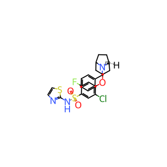 O=S(=O)(Nc1nccs1)c1cc(Cl)c(OC2CC3CC[C@@H](C2)N3Cc2ccccc2)cc1F